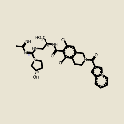 CC(=N)/N=C(\NC[C@H](NC(=O)c1c(Cl)cc2c(c1Cl)CCN(C(=O)c1cc3ccccn3c1)C2)C(=O)O)N1CC[C@H](O)C1